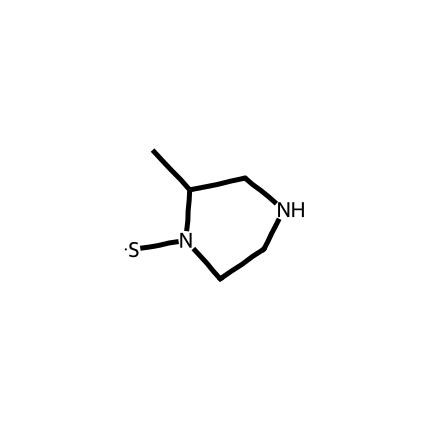 CC1CNCCN1[S]